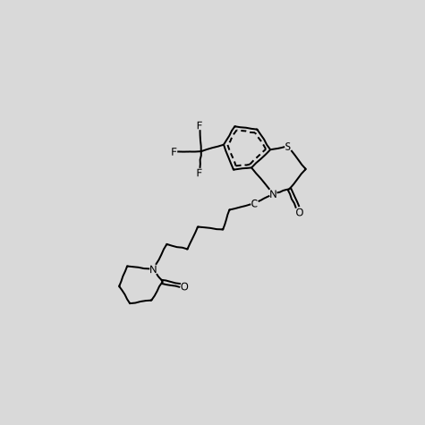 O=C1CCCCN1CCCCCCN1C(=O)CSc2ccc(C(F)(F)F)cc21